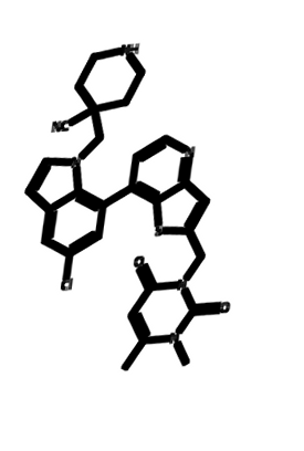 Cc1cc(=O)n(Cc2cc3nccc(-c4cc(Cl)cc5ccn(CC6(C#N)CCNCC6)c45)c3s2)c(=O)n1C